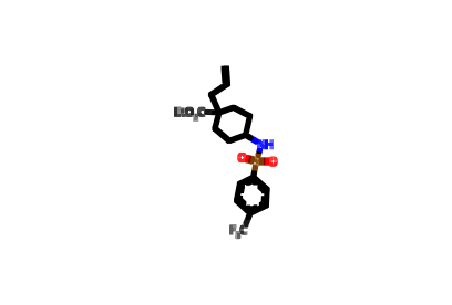 C=CCC1(C(=O)OCC)CCC(NS(=O)(=O)c2ccc(C(F)(F)F)cc2)CC1